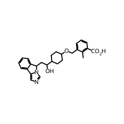 Cc1c(COC2CCC(C(O)CC3c4ccccc4-c4cncn43)CC2)cccc1C(=O)O